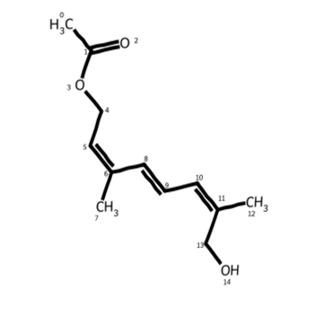 CC(=O)OCC=C(C)C=CC=C(C)CO